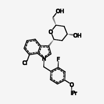 CC(C)Oc1ccc(Cn2cc([C@H]3C[C@@H](O)C[C@@H](CO)O3)c3cccc(Cl)c32)c(F)c1